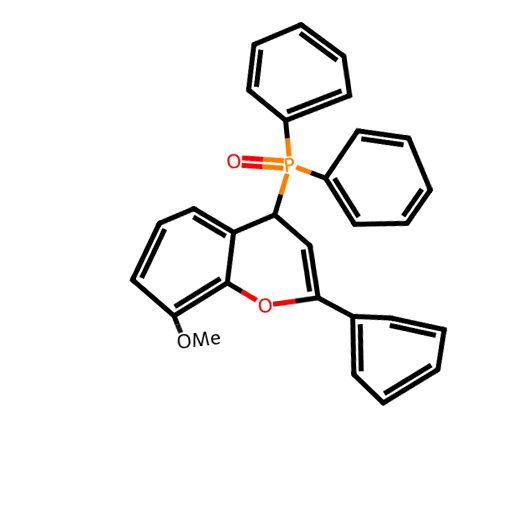 COc1cccc2c1OC(c1ccccc1)=CC2P(=O)(c1ccccc1)c1ccccc1